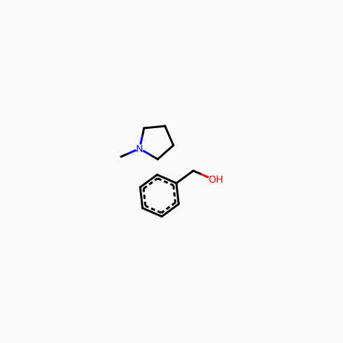 CN1CCCC1.OCc1ccccc1